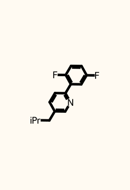 CC(C)Cc1ccc(-c2cc(F)ccc2F)nc1